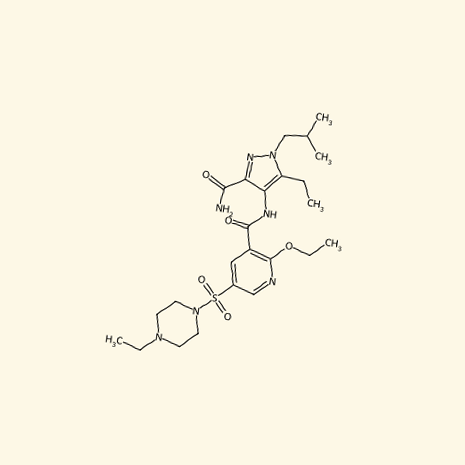 CCOc1ncc(S(=O)(=O)N2CCN(CC)CC2)cc1C(=O)Nc1c(C(N)=O)nn(CC(C)C)c1CC